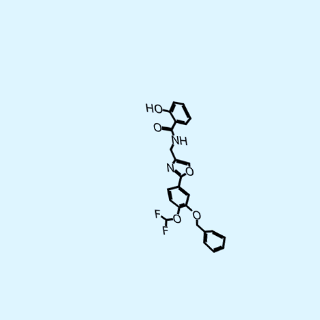 O=C(NCc1coc(-c2ccc(OC(F)F)c(OCc3ccccc3)c2)n1)c1ccccc1O